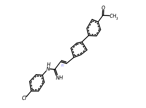 CC(=O)c1ccc(-c2ccc(/C=C/C(=N)Nc3ccc(Cl)cc3)cc2)cc1